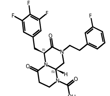 O=C1[C@H](Cc2cc(F)c(F)c(F)c2)N2C(=O)CCN(C(=O)O)[C@H]2CN1CCc1cccc(F)c1